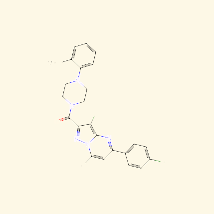 COc1ccccc1N1CCN(C(=O)c2nn3c(C(F)(F)F)cc(-c4ccc(Br)cc4)nc3c2Cl)CC1